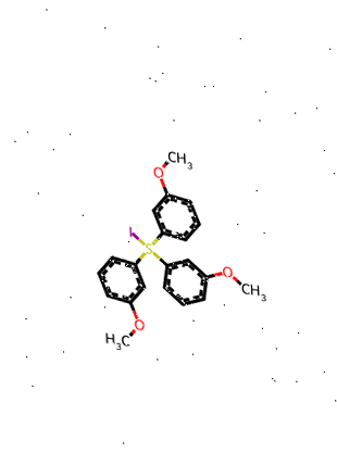 COc1cccc(S(I)(c2cccc(OC)c2)c2cccc(OC)c2)c1